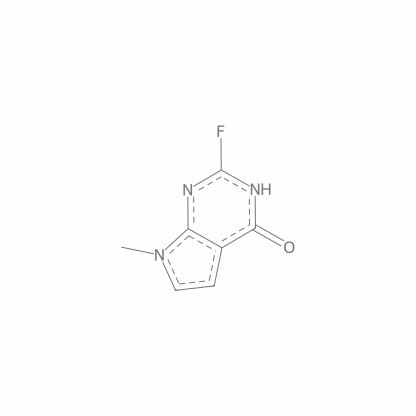 Cn1ccc2c(=O)[nH]c(F)nc21